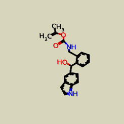 C=C(C)OC(=O)NCc1ccccc1C(O)c1ccc2[nH]ccc2c1